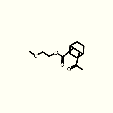 COCCOC(=O)C1C2CCC(CC2)C1C(C)=O